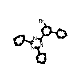 Brc1cc(-c2ccccc2)cc(-c2nc(-c3ccccc3)nc(-c3ccccc3)n2)c1